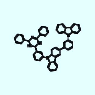 c1ccc(C2=NC(c3ccccc3)NC(c3cccc(-n4c5ccccc5c5cc(-c6cccc(-n7c8ccccc8c8ccccc87)c6)ccc54)c3)N2)cc1